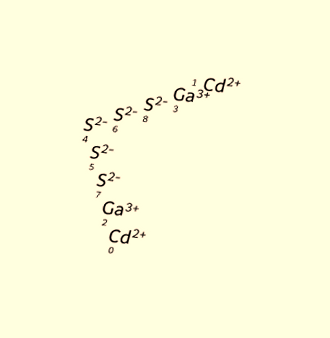 [Cd+2].[Cd+2].[Ga+3].[Ga+3].[S-2].[S-2].[S-2].[S-2].[S-2]